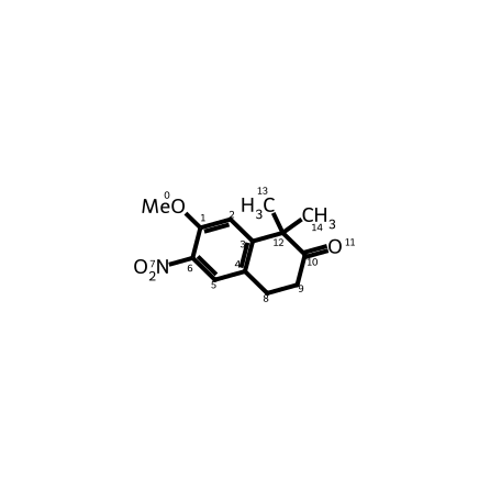 COc1cc2c(cc1[N+](=O)[O-])CCC(=O)C2(C)C